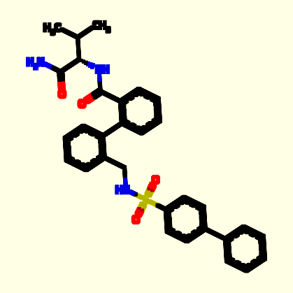 CC(C)[C@H](NC(=O)c1ccccc1-c1ccccc1CNS(=O)(=O)c1ccc(-c2ccccc2)cc1)C(N)=O